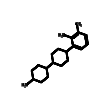 BC1CCC(C2CCC(c3cccc(C)c3C)CC2)CC1